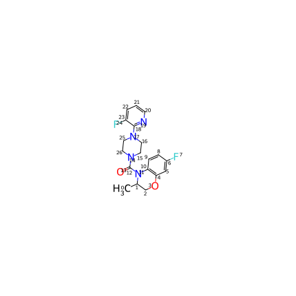 CC1COc2cc(F)ccc2N1C(=O)N1CCN(c2ncccc2F)CC1